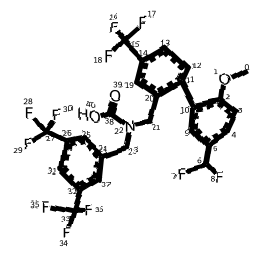 COc1ccc(C(F)F)cc1-c1ccc(C(F)(F)F)cc1CN(Cc1cc(C(F)(F)F)cc(C(F)(F)F)c1)C(=O)O